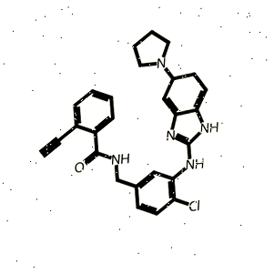 C#Cc1ccccc1C(=O)NCc1ccc(Cl)c(Nc2nc3c([nH]2)=CCC(N2CCCC2)C=3)c1